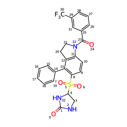 O=C1NCC(S(=O)(=O)c2ccc3c(c2-c2ccccc2)CCN3C(=O)c2cccc(C(F)(F)F)c2)N1